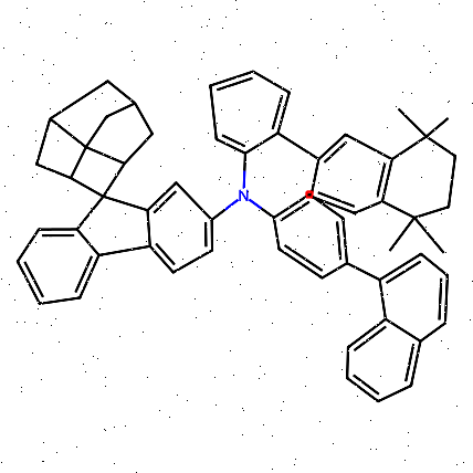 CC1(C)CCC(C)(C)c2cc(-c3ccccc3N(c3ccc(-c4cccc5ccccc45)cc3)c3ccc4c(c3)C3(c5ccccc5-4)C4CC5CC6CC3C64C5)ccc21